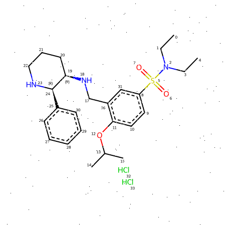 CCN(CC)S(=O)(=O)c1ccc(OC(C)C)c(CN[C@@H]2CCCN[C@@H]2c2ccccc2)c1.Cl.Cl